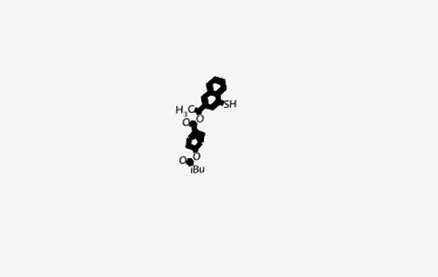 CCC(C)C(=O)OC1CC2CC1CC2C(=O)OC(C)c1cc(S)c2ccccc2c1